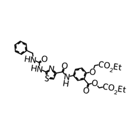 CCOC(=O)COC(=O)c1cc(NC(=O)c2csc(NC(=O)NCc3ccccc3)n2)ccc1OCC(=O)OCC